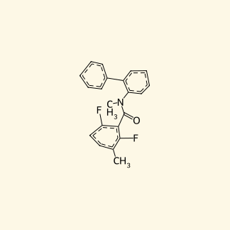 Cc1ccc(F)c(C(=O)N(C)c2ccccc2-c2ccccc2)c1F